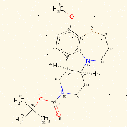 COc1ccc2c3c1SCCCN3[C@H]1CCN(C(=O)OC(C)(C)C)C[C@@H]21